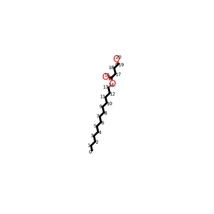 CCCCCCCCCCCCCCOC(=O)CC[C]=O